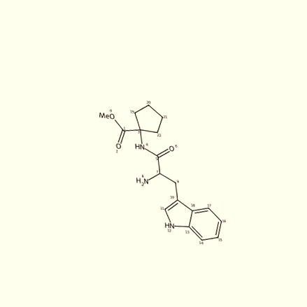 COC(=O)C1(NC(=O)C(N)Cc2c[nH]c3ccccc23)CCCC1